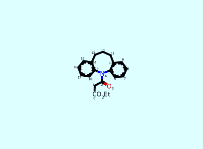 CCOC(=O)CC(=O)N1c2ccccc2CCCc2ccccc21